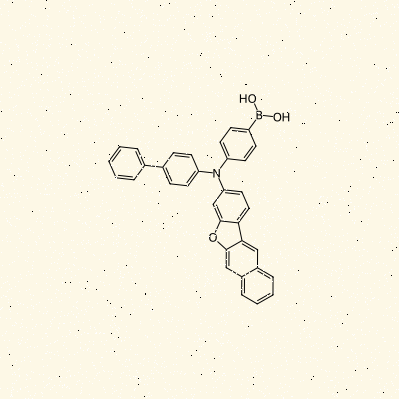 OB(O)c1ccc(N(c2ccc(-c3ccccc3)cc2)c2ccc3c(c2)oc2cc4ccccc4cc23)cc1